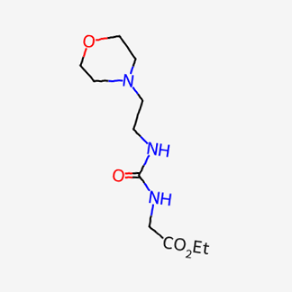 CCOC(=O)CNC(=O)NCCN1CCOCC1